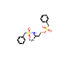 CC(CCOS(=O)(=O)Cc1ccccc1)NS(=O)(=O)Cc1ccccc1